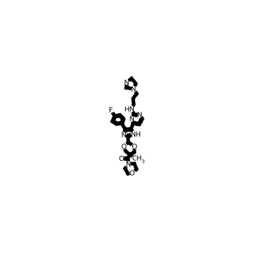 CC1(C(=O)N2CCOCC2)COC(c2nc(-c3ccc(F)cc3)c(-c3ccnc(NCCCN4C=NCC4)n3)[nH]2)OC1